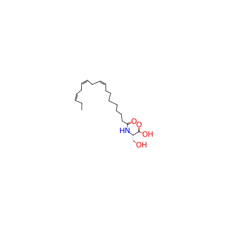 CC/C=C\C/C=C\C/C=C\CCCCCCCC(=O)N[C@@H](CO)C(=O)O